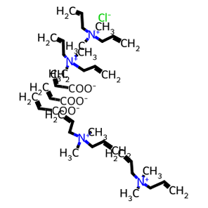 C=CC(=O)[O-].C=CC(=O)[O-].C=CC(=O)[O-].C=CC[N+](C)(C)CC=C.C=CC[N+](C)(C)CC=C.C=CC[N+](C)(C)CC=C.C=CC[N+](C)(C)CC=C.[Cl-]